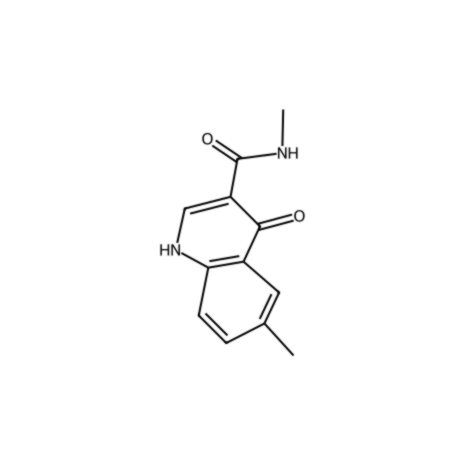 CNC(=O)c1c[nH]c2ccc(C)cc2c1=O